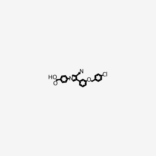 N#Cc1cn(-c2ccc(C(=O)O)cc2)cc1-c1cccc(OCc2ccc(Cl)cc2)c1